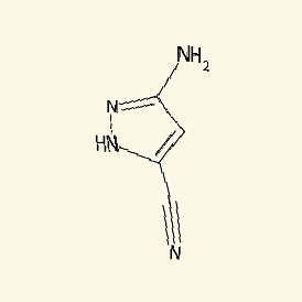 N#Cc1cc(N)n[nH]1